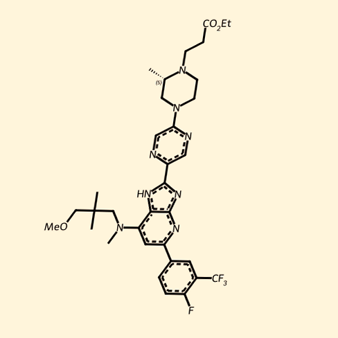 CCOC(=O)CCN1CCN(c2cnc(-c3nc4nc(-c5ccc(F)c(C(F)(F)F)c5)cc(N(C)CC(C)(C)COC)c4[nH]3)cn2)C[C@@H]1C